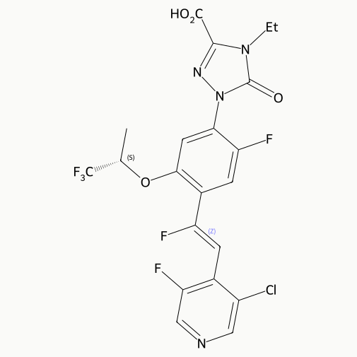 CCn1c(C(=O)O)nn(-c2cc(O[C@@H](C)C(F)(F)F)c(/C(F)=C/c3c(F)cncc3Cl)cc2F)c1=O